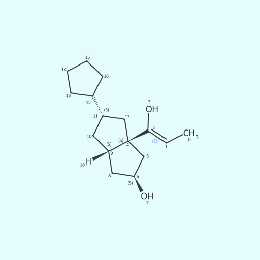 C/C=C(\O)[C@@]12C[C@@H](O)C[C@@H]1C[C@H](C1CCCC1)C2